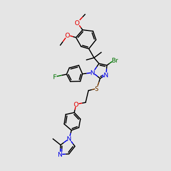 COc1ccc(C(C)(C)c2c(Br)nc(SCCOc3ccc(-n4ccnc4C)cc3)n2-c2ccc(F)cc2)cc1OC